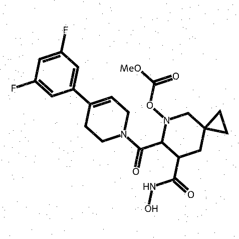 COC(=O)ON1CC2(CC2)CC(C(=O)NO)C1C(=O)N1CC=C(c2cc(F)cc(F)c2)CC1